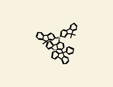 CC1(C)c2ccccc2-c2ccc(N(c3ccc4c(c3)C(C)(C)c3ccccc3-4)c3ccc(C4(c5ccccc5)c5ccccc5-c5ccccc54)c4oc5ccccc5c34)cc21